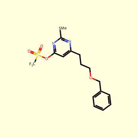 CSc1nc(CCCOCc2ccccc2)cc(OS(=O)(=O)C(F)(F)F)n1